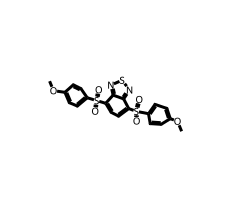 COc1ccc(S(=O)(=O)c2ccc(S(=O)(=O)c3ccc(OC)cc3)c3nsnc23)cc1